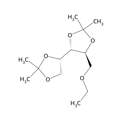 CCOC[C@@H]1OC(C)(C)O[C@H]1[C@@H]1COC(C)(C)O1